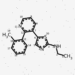 CCNc1ncc(-c2cccnc2-c2ccccc2C)s1